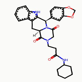 O=C(CCN1CC(=O)N2[C@H](c3ccc4c(c3)OCO4)c3[nH]c4ccccc4c3C[C@@H]2C1=O)NC1CCCCC1